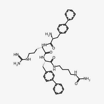 N=C(N)NCCC[C@H](NC(=O)[C@@H](N)Cc1ccc(-c2ccccc2)cc1)C(=O)N[C@@H](Cc1ccc(-c2ccccc2)cc1)C(=O)NCCCCNC(N)=O